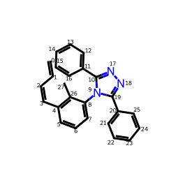 C=C/C=C\c1cccc(-n2c(-c3ccccc3)nnc2-c2ccccc2)c1C